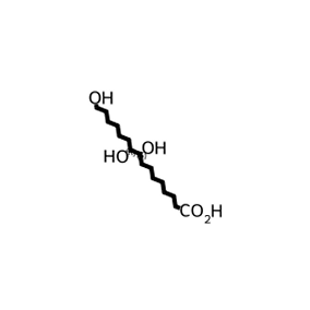 O=C(O)CCCCCCC[C@H](O)[C@H](O)CCCCCCO